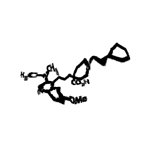 COc1ccc2ncc(N(C)C)c(CCCC3(C(=O)O)CCN(CCC4CCCCC4)CC3)c2c1